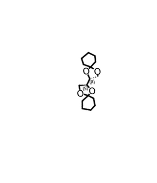 C1CCC2(CC1)OC[C@@H]([C@H]1COC3(CCCCC3)O1)O2